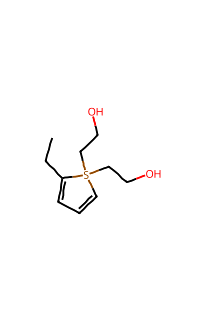 CCC1=CC=CS1(CCO)CCO